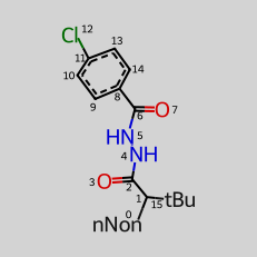 CCCCCCCCCC(C(=O)NNC(=O)c1ccc(Cl)cc1)C(C)(C)C